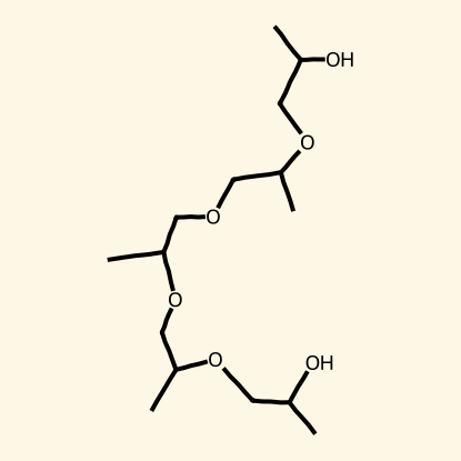 CC(O)COC(C)COCC(C)OCC(C)OCC(C)O